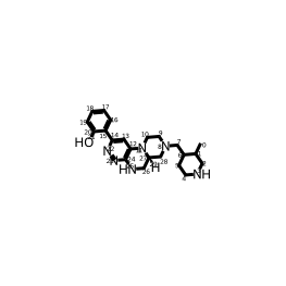 CC1CNCCC1CN1CCN2c3cc(-c4ccccc4O)nnc3NC[C@H]2C1